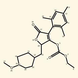 CCOC(=O)OC1=C(c2c(C)cc(C)cc2C)C(=O)OC1CC1CCN(OC)CC1